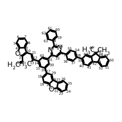 C=Cc1oc2ccccc2c1/C=C(\C)c1cc(-c2ccc3oc4ccccc4c3c2)cc(-c2cc(-c3ccc(-c4ccc5c(c4)C(C)(C)c4ccccc4-5)cc3)nc(-c3ccccc3)n2)c1